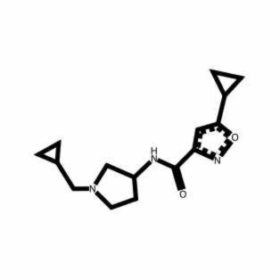 O=C(NC1CCN(CC2CC2)C1)c1cc(C2CC2)on1